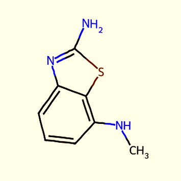 CNc1cccc2nc(N)sc12